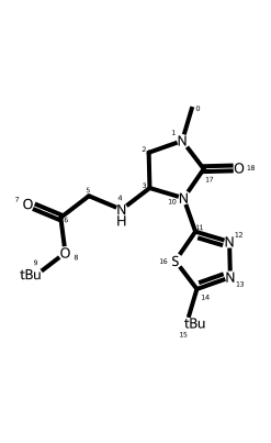 CN1CC(NCC(=O)OC(C)(C)C)N(c2nnc(C(C)(C)C)s2)C1=O